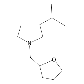 CCN(CCC(C)C)CC1CCCO1